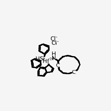 C1=C[CH]([Hf+2]([NH]C2CCCCCCCCCCC2)[SiH](c2ccccc2)c2ccccc2)c2ccccc21.[Cl-].[Cl-]